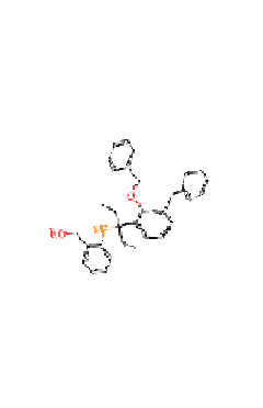 CCC(CC)(Pc1ccccc1CO)c1cccc(Cc2ccccc2)c1OCc1ccccc1